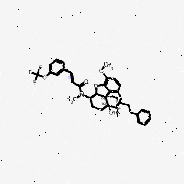 COc1ccc2c3c1OC1C(N(C)C(=O)/C=C/c4cccc(OC(F)(F)F)c4)CC[C@@]4(O)[C@@H](C2)N(CCc2ccccc2)CC[C@]314